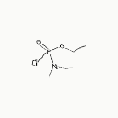 CCOP(=O)(Cl)N(C)C